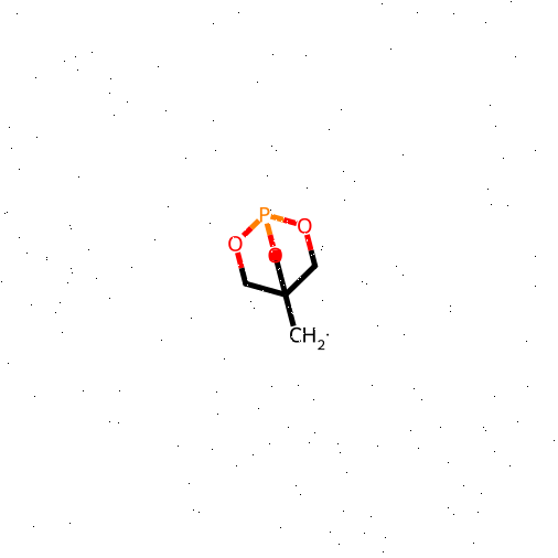 [CH2]C12COP(OC1)OC2